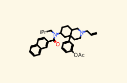 C=CCN1CCC2(c3cccc(OC(C)=O)c3)CC(N(CC(C)C)C(=O)c3ccc4ccccc4c3)CCC2C1